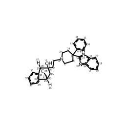 O[C@@]1(CCN2CCC(c3ccccc3)(c3nc4ccccc4[nH]3)CC2)C[C@H]2CC[C@@H]1c1ccccc12